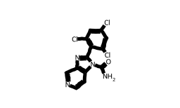 NC(=O)n1c(-c2c(Cl)cc(Cl)cc2Cl)nc2[c]nccc21